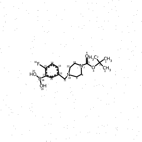 CC(C)(C)OC(=O)N1CCN(Cc2ccc(F)c(B(O)O)c2)CC1